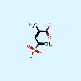 C=C(C=C(C)C(=O)O)S(=O)(=O)O